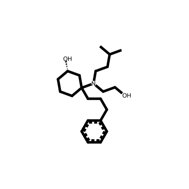 CC(C)CCN(CCO)C1(CCCc2ccccc2)CCC[C@H](O)C1